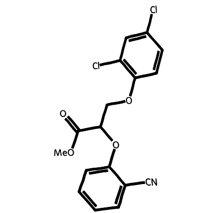 COC(=O)C(COc1ccc(Cl)cc1Cl)Oc1ccccc1C#N